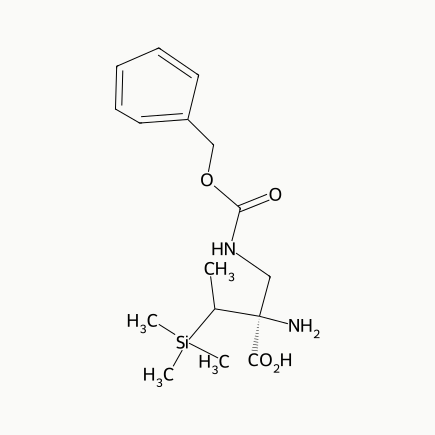 CC([C@](N)(CNC(=O)OCc1ccccc1)C(=O)O)[Si](C)(C)C